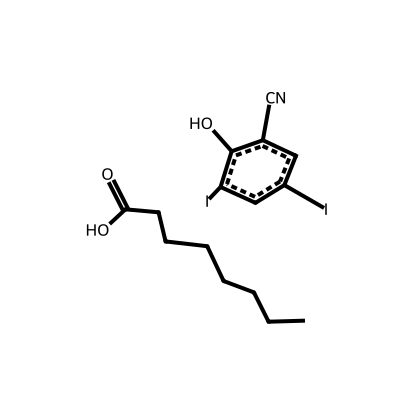 CCCCCCCC(=O)O.N#Cc1cc(I)cc(I)c1O